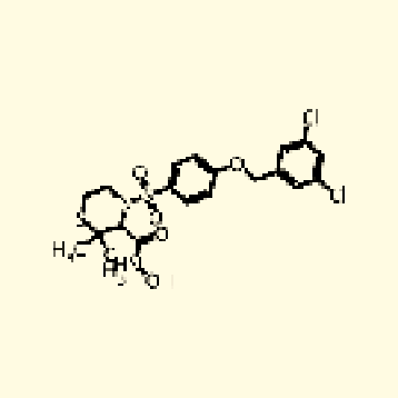 CC1(C)SCCN(S(=O)(=O)c2ccc(OCc3cc(Cl)cc(Cl)c3)cc2)[C@H]1C(=O)NO